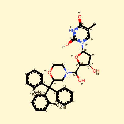 COc1ccccc1C(c1ccccc1)(c1ccccc1OC)C1CN(C(O)[C@H]2O[C@@H](n3cc(C)c(=O)[nH]c3=O)C[C@@H]2O)CCO1